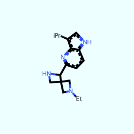 CCN1CC2(CNC2c2ccc3[nH]cc(C(C)C)c3n2)C1